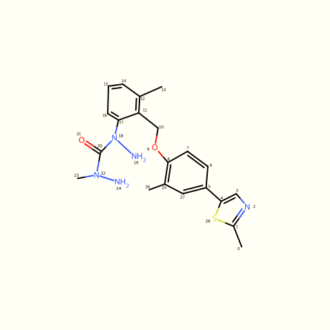 Cc1ncc(-c2ccc(OCc3c(C)cccc3N(N)C(=O)N(C)N)c(C)c2)s1